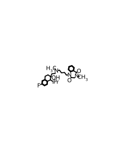 CC(C)C1c2ccc(F)cc2CCC1(O)CCN(C)CCCCN1C(=O)CN(C)C(=O)c2ccccc21